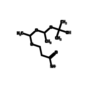 CC(OCCC([NH])=O)OC(C)OC(C)(C)O